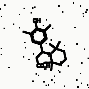 Cc1cc(C(CC(=O)O)N2C(C)(C)CCCC2(C)C)cc(C)c1O